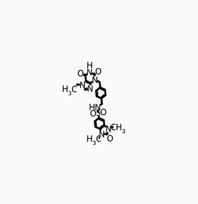 CCn1cnc2c1c(=O)[nH]c(=O)n2Cc1ccc(CNS(=O)(=O)c2ccc3c(c2)n(C)c(=O)n3C)cc1